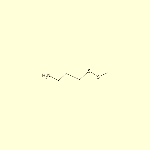 CSSCCCN